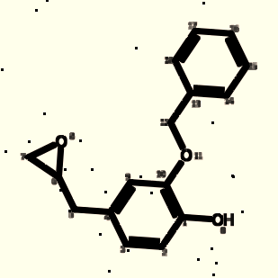 Oc1ccc(CC2CO2)cc1OCc1ccccc1